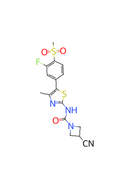 Cc1nc(NC(=O)N2CC(C#N)C2)sc1-c1ccc(S(C)(=O)=O)c(F)c1